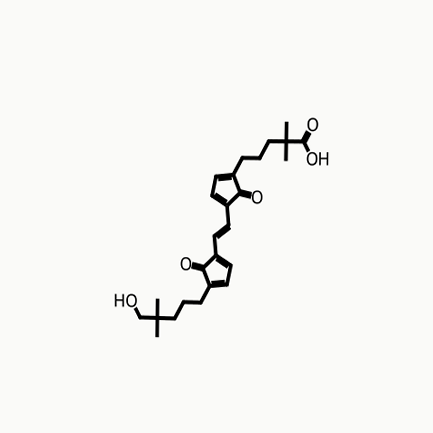 CC(C)(CO)CCCC1=CC=C(C=CC2=CC=C(CCCC(C)(C)C(=O)O)C2=O)C1=O